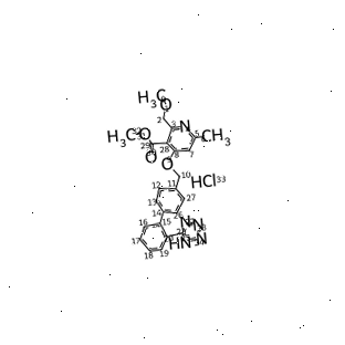 COCc1nc(C)cc(OCc2ccc(-c3ccccc3-c3nnn[nH]3)cc2)c1C(=O)OC.Cl